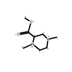 COC(=O)C1CN(C)CCN1C